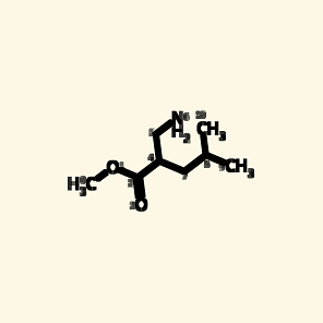 COC(=O)C(CN)CC(C)C